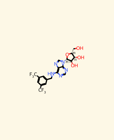 OC[C@H]1O[C@@H](n2cnc3c(NCc4cc(C(F)(F)F)cc(C(F)(F)F)c4)ncnc32)[C@H](O)[C@@H]1O